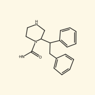 [NH]C(=O)N1CCNCC1C(Cc1ccccc1)c1ccccc1